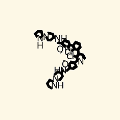 COc1cc(-c2nccc(-c3cccc(-c4ccc(CNC5CCN(C6CCCCN6)CC5)c(OC)n4)c3Cl)c2Cl)ccc1CNC1CCN(C2CCCCN2)CC1